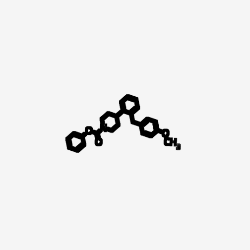 COc1ccc(Cc2ccccc2C2CCN(C(=O)Oc3ccccc3)CC2)cc1